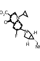 NC[C@@H]1[C@H]2CN(c3cc4c(cc3F)c(=O)c(C(=O)O)cn4C3CC3)C[C@@H]12